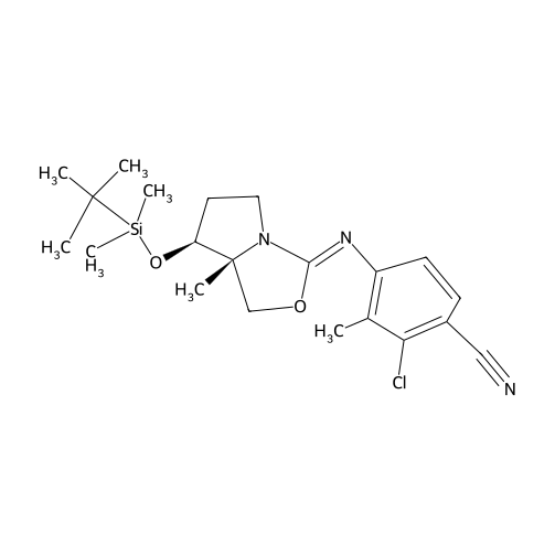 Cc1c(/N=C2\OC[C@]3(C)[C@@H](O[Si](C)(C)C(C)(C)C)CCN23)ccc(C#N)c1Cl